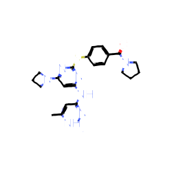 C/N=C(\C=C(\C)N)Nc1cc(N2CCC2)nc(Sc2ccc(C(=O)N3CCCC3)cc2)n1